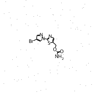 NC(=O)OCc1cnc(-n2cc(Br)cn2)s1